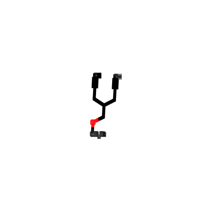 C#CCC(CC#C)COC(=O)O[CH]C